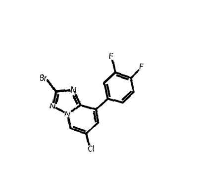 Fc1ccc(-c2cc(Cl)cn3nc(Br)nc23)cc1F